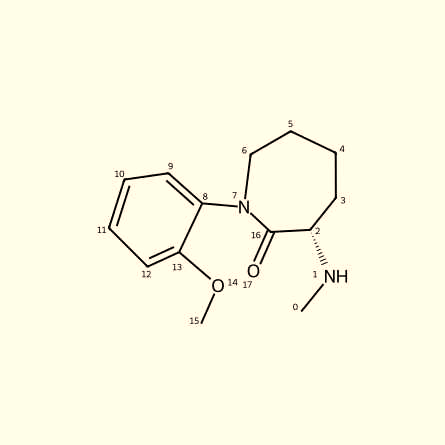 CN[C@H]1CCCCN(c2ccccc2OC)C1=O